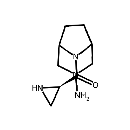 NN1CC2CCC(C1)N2C(=O)[C@H]1CN1